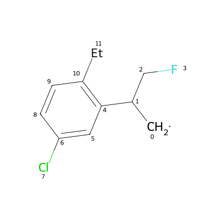 [CH2]C(CF)c1cc(Cl)ccc1CC